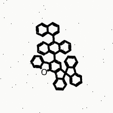 c1ccc2c(c1)-c1ccccc1C21c2ccccc2-c2c1cc(-c1c3ccccc3c(-c3cccc4ccccc34)c3ccccc13)c1c2oc2ccccc21